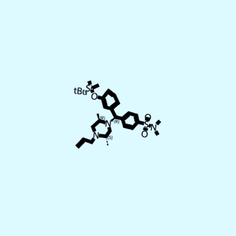 C=CCN1C[C@@H](C)N([C@H](c2ccc(S(=O)(=O)N(C)C)cc2)c2cccc(O[Si](C)(C)C(C)(C)C)c2)C[C@@H]1C